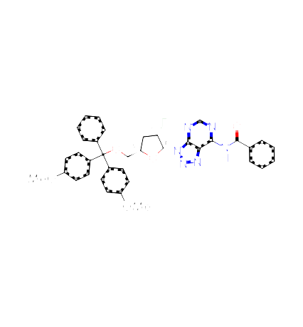 COc1ccc(C(OC[C@H]2[CH][C@H](F)[C@H](n3nnc4c(NC(=O)c5ccccc5)ncnc43)O2)(c2ccccc2)c2ccc(OC)cc2)cc1